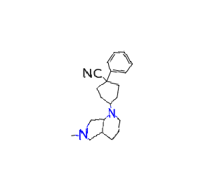 CN1CC2CCCN(C3CCC(C#N)(c4ccccc4)CC3)C2C1